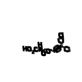 O=C(O)CNC(=O)COCCN1CCN(C(c2ccccc2)c2ccc(Cl)cc2)CC1